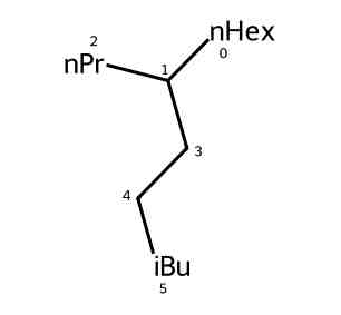 CCCCCCC(CCC)CCC(C)CC